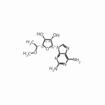 COC(C)[C@H]1O[C@@H](n2cnc3c(N)nc(N)nc32)[C@H](O)[C@@H]1O